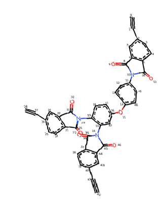 C#Cc1ccc2c(c1)C(=O)N(c1ccc(Oc3ccc(N4C(=O)c5ccc(C#C)cc5C4=O)c(N4C(=O)c5ccc(C#C)cc5C4=O)c3)cc1)C2=O